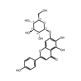 O=c1cc(-c2ccc(O)cc2)oc2cc(O[C@@H]3O[C@H](CO)[C@@H](O)[C@H](O)[C@H]3O)c(O)c(O)c12